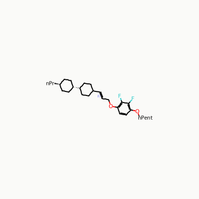 CCCCCOc1ccc(OC/C=C/C2CCC([C@H]3CC[C@H](CCC)CC3)CC2)c(F)c1F